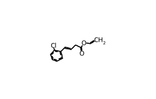 C=COC(=O)CC=Cc1ccccc1Cl